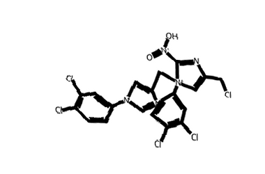 O=[N+](O)C1=NC(CCl)=C[N+]1(Cc1cn(-c2ccc(Cl)c(Cl)c2)cn1)c1ccc(Cl)c(Cl)c1